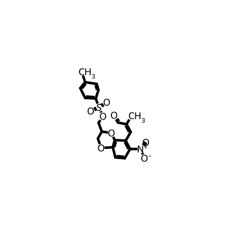 CC(C=O)=Cc1c([N+](=O)[O-])ccc2c1OC(COS(=O)(=O)c1ccc(C)cc1)CO2